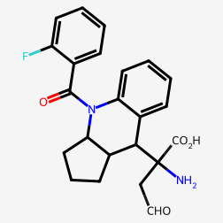 NC(CC=O)(C(=O)O)C1c2ccccc2N(C(=O)c2ccccc2F)C2CCCC21